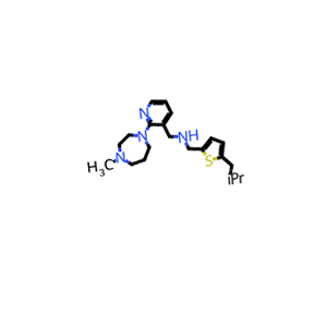 CC(C)Cc1ccc(CNCc2cccnc2N2CCCN(C)CC2)s1